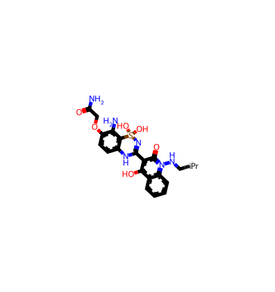 CC(C)CNn1c(=O)c(C2=NS(O)(O)c3c(ccc(OCC(N)=O)c3N)N2)c(O)c2ccccc21